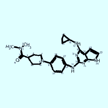 CN(C)C(=O)C1CCN(c2ccc(Nc3nc(NC4CC4)c4cc[nH]c4n3)cc2)CC1